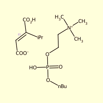 CC(C)/C(=C\C(=O)[O-])C(=O)O.CCCCOP(=O)(O)OCC[N+](C)(C)C